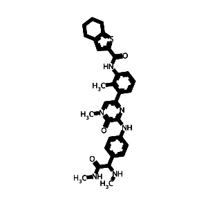 CNC(=O)C(NC)c1ccc(Nc2nc(-c3cccc(NC(=O)c4cc5c(s4)CCCC5)c3C)cn(C)c2=O)cc1